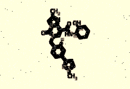 Cc1cn2c(=O)n(Cc3ccc(-c4ccn(C)n4)cc3F)cc(C(=O)N[C@H]3CCCC[C@@H]3O)c2n1